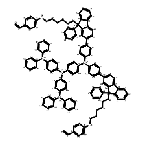 C=Cc1ccc(OCCCCCCC2(c3ccccc3)c3ccccc3-c3ccc(-c4ccc(N(c5ccc(-c6ccc7c(c6)C(CCCCCCOc6ccc(C=C)cc6)(c6ccccc6)c6ccccc6-7)cc5)c5ccc(N(c6ccc(N(c7ccccc7)c7ccccc7)cc6)c6ccc(N(c7ccccc7)c7ccccc7)cc6)cc5)cc4)cc32)cc1